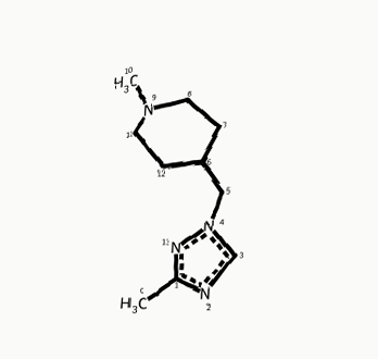 Cc1ncn(CC2CCN(C)CC2)n1